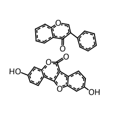 O=c1c(-c2ccccc2)coc2ccccc12.O=c1oc2cc(O)ccc2c2oc3cc(O)ccc3c12